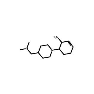 CN(C)CC1CCN(C2CCN=CC2N)CC1